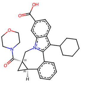 O=C(O)c1ccc2c(C3CCCCC3)c3n(c2c1)C[C@]1(C(=O)N2CCOCC2)C[C@@H]1c1ccccc1-3